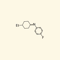 CCC1CCC(=Nc2ccc(F)cc2)CC1